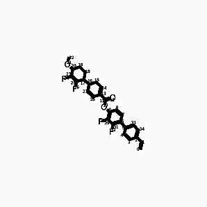 C=Cc1ccc(-c2ccc(OC(=O)C3=CCC(C4CCC(OC)C(F)=C4F)C=C3)c(F)c2F)cc1